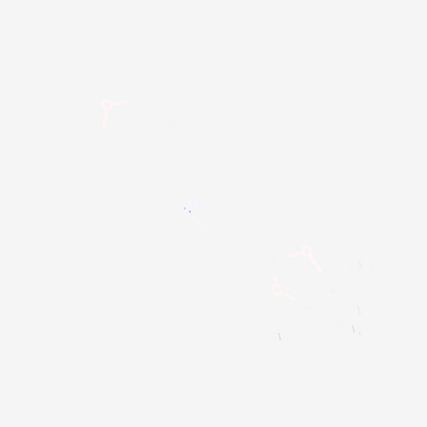 CC1(C)OB(c2ccc(C3CCOCC3)nc2)OC1(C)C